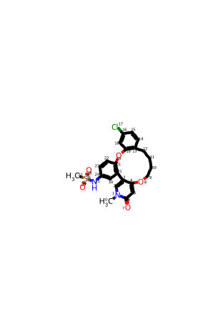 Cn1cc2c(cc1=O)OCCCCc1ccc(Cl)cc1Oc1ccc(NS(C)(=O)=O)cc1-2